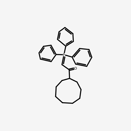 O=C(C=P(c1ccccc1)(c1ccccc1)c1ccccc1)C1CCCCCCCC1